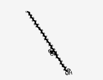 CCCCCCCCCCCCCCCCCCCCCCCCCCC(CCCCCCCCCCCCC(=O)O)C(=O)O